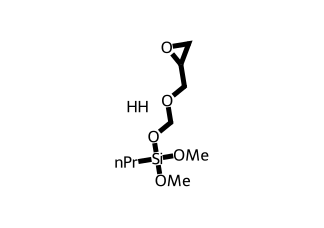 CCC[Si](OC)(OC)OCOCC1CO1.[HH]